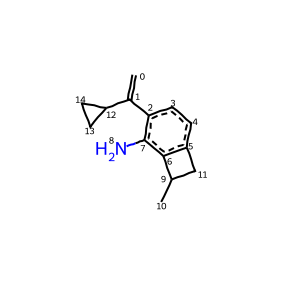 C=C(c1ccc2c(c1N)C(C)C2)C1CC1